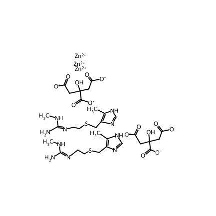 CNC(N)=NCCSCc1nc[nH]c1C.CNC(N)=NCCSCc1nc[nH]c1C.O=C([O-])CC(O)(CC(=O)[O-])C(=O)[O-].O=C([O-])CC(O)(CC(=O)[O-])C(=O)[O-].[Zn+2].[Zn+2].[Zn+2]